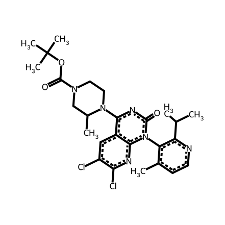 Cc1ccnc(C(C)C)c1-n1c(=O)nc(N2CCN(C(=O)OC(C)(C)C)CC2C)c2cc(Cl)c(Cl)nc21